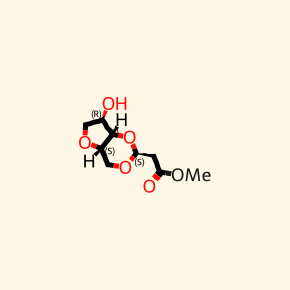 COC(=O)C[C@H]1OC[C@@H]2OC[C@@H](O)[C@@H]2O1